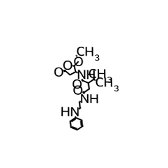 CCOC1OC(=O)CC1NC(=O)C(CC(=O)NCCNc1ccccc1)C(C)C